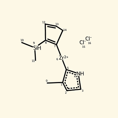 Cc1cc[nH][c]1[Zr+2][C]1=C([SiH](C)C)C=CC1.[Cl-].[Cl-]